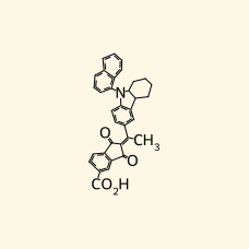 C/C(=C1/C(=O)c2ccc(C(=O)O)cc2C1=O)c1ccc2c(c1)C1CCCCC1N2c1cccc2ccccc12